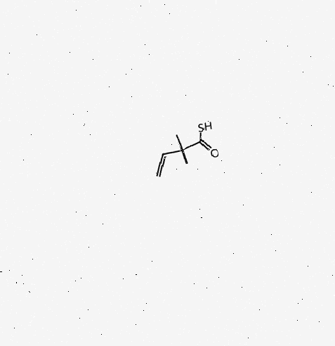 C=CC(C)(C)C(=O)S